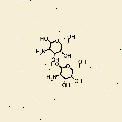 N[C@H]1C(O)O[C@H](CO)[C@@H](O)[C@@H]1O.N[C@H]1C(O)O[C@H](CO)[C@H](O)[C@@H]1O